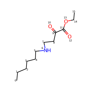 CCCCCCNCCC(=O)C(=O)OCC